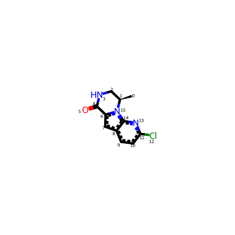 C[C@@H]1CNC(=O)c2cc3ccc(Cl)nc3n21